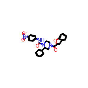 O=C(c1cc2ccccc2o1)N1CCN(C(=O)Nc2ccc([N+](=O)[O-])cc2)C(c2ccccc2)C1